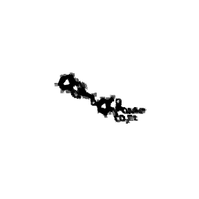 CCOC(=O)N(C(=O)OC)c1ccc(OCc2nc3ccccc3o2)cc1C